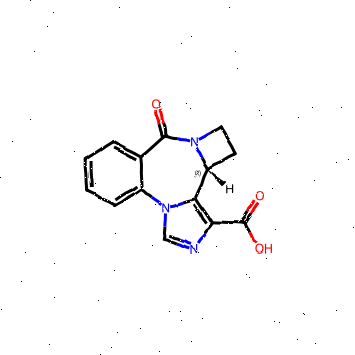 O=C(O)c1ncn2c1[C@H]1CCN1C(=O)c1ccccc1-2